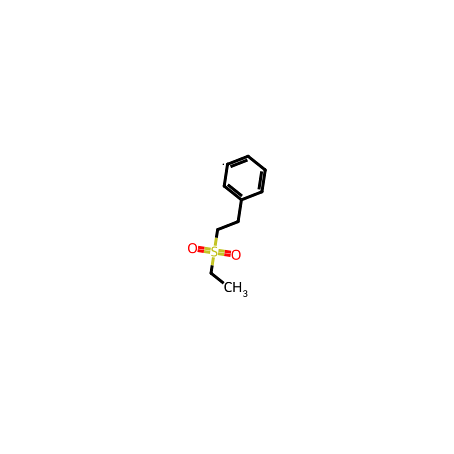 CCS(=O)(=O)CCc1c[c]ccc1